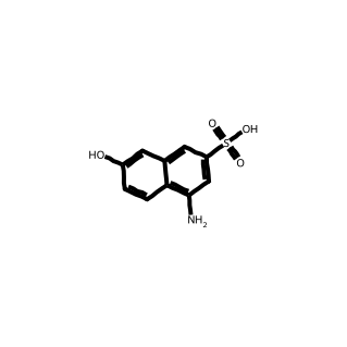 Nc1cc(S(=O)(=O)O)cc2cc(O)ccc12